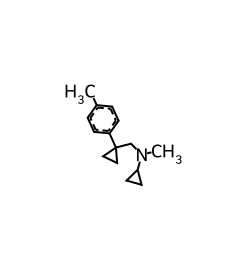 Cc1ccc(C2(CN(C)C3CC3)CC2)cc1